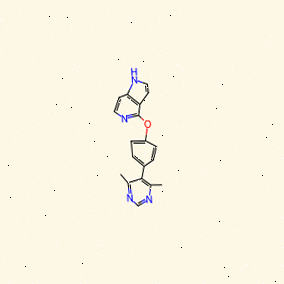 Cc1ncnc(C)c1-c1ccc(Oc2nccc3[nH]ccc23)cc1